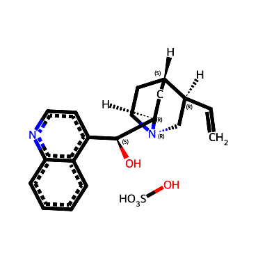 C=C[C@H]1C[N@]2CC[C@H]1C[C@@H]2[C@@H](O)c1ccnc2ccccc12.O=S(=O)(O)O